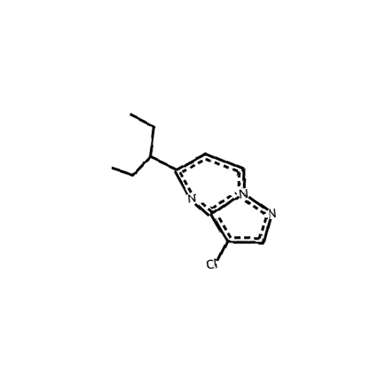 CCC(CC)c1ccn2ncc(Cl)c2n1